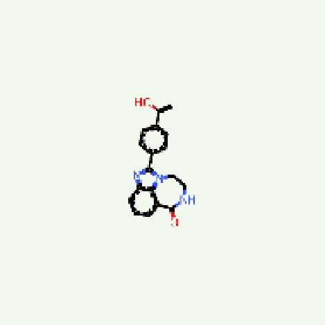 C=C(O)c1ccc(-c2nc3cccc4c3n2CCNC4=O)cc1